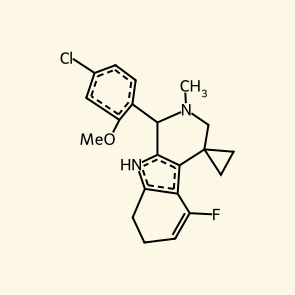 COc1cc(Cl)ccc1C1c2[nH]c3c(c2C2(CC2)CN1C)C(F)=CCC3